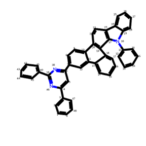 c1ccc(-c2cc(-c3ccc4c(c3)c3ccccc3c3c4ccc4c5ccccc5n(-c5ccccc5)c43)nc(-c3ccccc3)n2)cc1